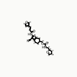 N#Cc1c(NC(=O)C=Cc2ccoc2)sc2c1CCC(COC(=O)NCC1CCCO1)C2